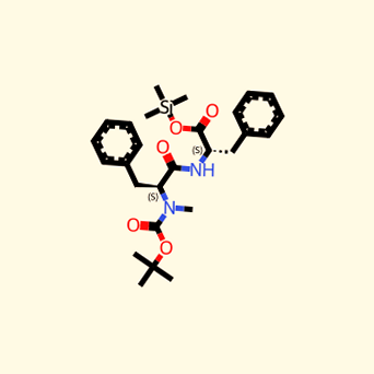 CN(C(=O)OC(C)(C)C)[C@@H](Cc1ccccc1)C(=O)N[C@@H](Cc1ccccc1)C(=O)O[Si](C)(C)C